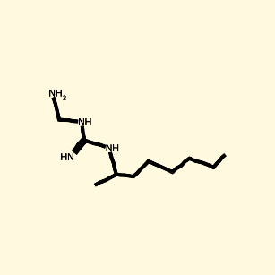 CCCCCCC(C)NC(=N)NCN